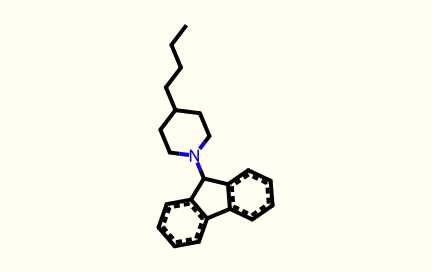 CCCCC1CCN(C2c3ccccc3-c3ccccc32)CC1